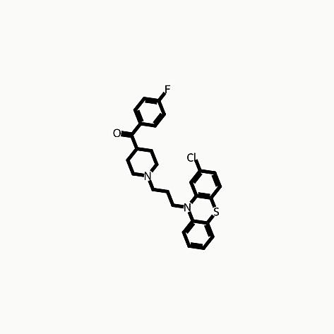 O=C(c1ccc(F)cc1)C1CCN(CCCN2c3ccccc3Sc3ccc(Cl)cc32)CC1